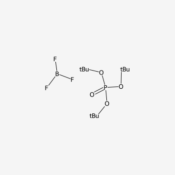 CC(C)(C)OP(=O)(OC(C)(C)C)OC(C)(C)C.FB(F)F